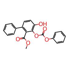 COC(=O)c1c(-c2ccccc2)ccc(O)c1OC(=O)Oc1ccccc1